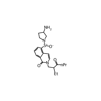 CCCC(=O)C(CC)Cn1ccc2c([S+]([O-])N3CCC(N)C3)cccc2c1=O